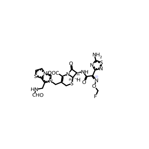 Nc1nc(/C(=N/OCF)C(=O)N[C@@H]2C(=O)N3C(C(=O)[O-])=C(Cn4c[n+]5ccsc5c4CNC=O)CS[C@H]23)ns1